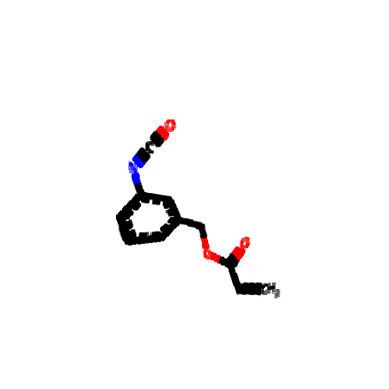 C=CC(=O)OCc1cccc(N=C=O)c1